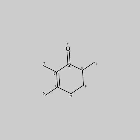 CC1=C(C)C(=O)C(C)CC1